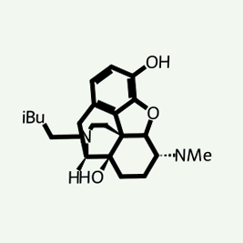 CCC(C)CN1CC[C@@]23c4c5ccc(O)c4OC2[C@H](NC)CC[C@]3(O)[C@@H]1C5